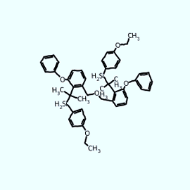 CCOc1ccc([SiH2]C(C)(C)c2c(COCc3cccc(Oc4ccccc4)c3C(C)(C)[SiH2]c3ccc(OCC)cc3)cccc2Oc2ccccc2)cc1